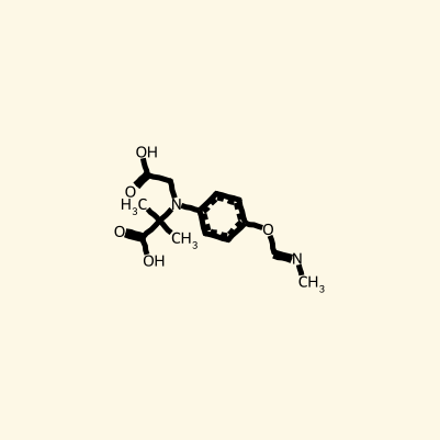 CN=COc1ccc(N(CC(=O)O)C(C)(C)C(=O)O)cc1